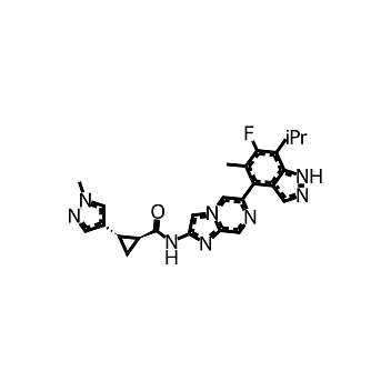 Cc1c(F)c(C(C)C)c2[nH]ncc2c1-c1cn2cc(NC(=O)[C@H]3C[C@@H]3c3cnn(C)c3)nc2cn1